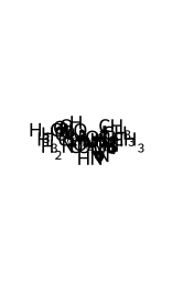 COP(=O)(O)O[C@H](C)[C@H](NC(=O)[C@H](CO)NC(=O)[C@H](Cc1cnc[nH]1)NC(=O)[C@H](CC(C)C)NC(=O)[C@@H]1CCCN1C(C)=O)C(N)=O